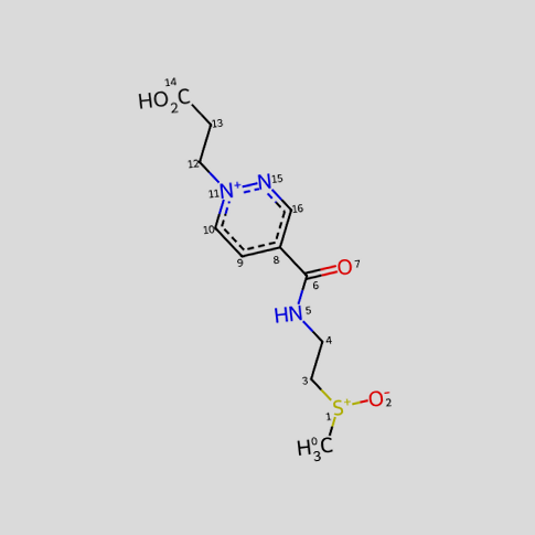 C[S+]([O-])CCNC(=O)c1cc[n+](CCC(=O)O)nc1